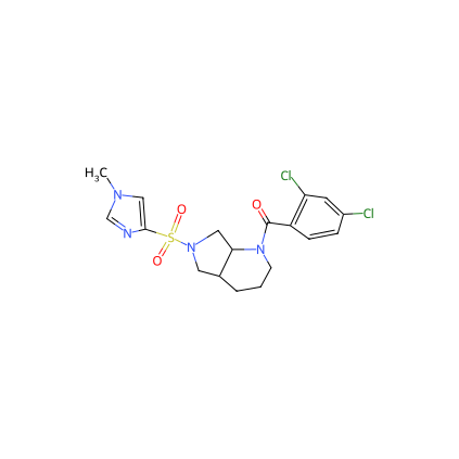 Cn1cnc(S(=O)(=O)N2CC3CCCN(C(=O)c4ccc(Cl)cc4Cl)C3C2)c1